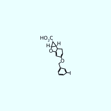 O=C(O)[C@H]1[C@@H]2OC3=CC(OCc4cccc(I)c4)=CCC3[C@@H]21